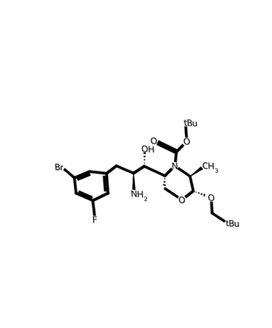 C[C@H]1[C@H](OCC(C)(C)C)OC[C@H]([C@@H](O)[C@@H](N)Cc2cc(F)cc(Br)c2)N1C(=O)OC(C)(C)C